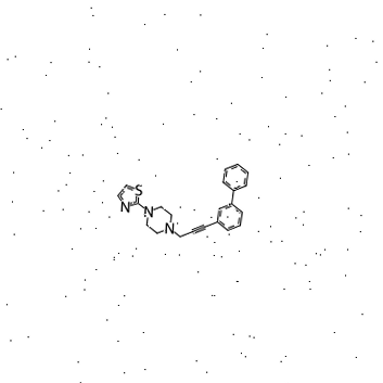 C(#Cc1cccc(-c2ccccc2)c1)CN1CCN(c2nccs2)CC1